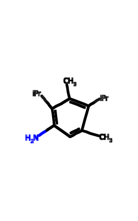 Cc1cc(N)c(C(C)C)c(C)c1C(C)C